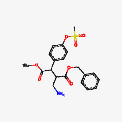 CC(C)(C)OC(=O)C(c1ccc(OS(C)(=O)=O)cc1)C(CN)C(=O)OCc1ccccc1